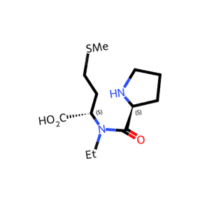 CCN(C(=O)[C@@H]1CCCN1)[C@@H](CCSC)C(=O)O